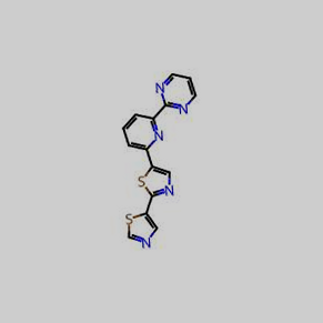 c1cnc(-c2cccc(-c3cnc(-c4cncs4)s3)n2)nc1